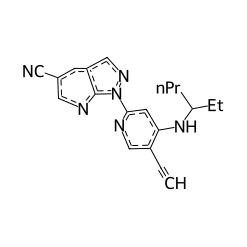 C#Cc1cnc(-n2ncc3cc(C#N)cnc32)cc1NC(CC)CCC